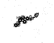 CN1CCN(CCOC(=O)N(C)c2ccc(-c3cnc4[nH]c5ccc(CS(=O)(=O)c6ccccc6)cc5c4c3-c3ccccc3)cc2)CC1